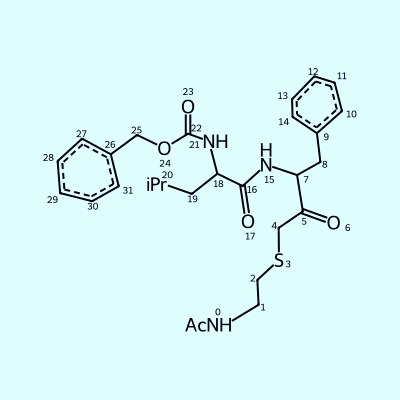 CC(=O)NCCSCC(=O)C(Cc1ccccc1)NC(=O)C(CC(C)C)NC(=O)OCc1ccccc1